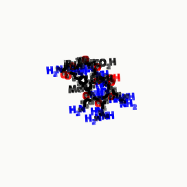 CC[C@H](C)[C@H](NC(=O)[C@H](Cc1ccccc1)NC(=O)[C@@H](NC(=O)[C@H](CC(=O)O)NC(=O)[C@H](C)NC(=O)[C@H](CO)NC(=O)[C@H](CCCNC(=N)N)NC(=O)[C@H](CCCNC(=N)N)NC(=O)[C@H](CCCCN)NC(=O)[C@H](CCC(=O)O)NC)[C@@H](C)CC)C(N)=O